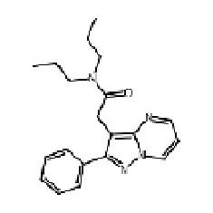 CCCN(CCC)C(=O)Cc1c(-c2ccccc2)nn2cccnc12